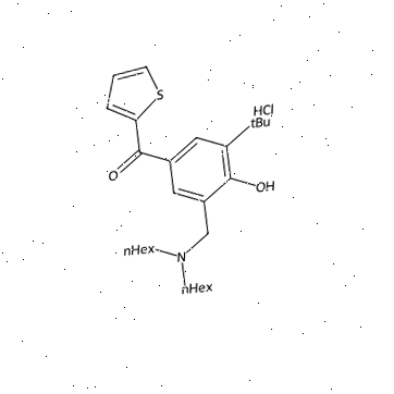 CCCCCCN(CCCCCC)Cc1cc(C(=O)c2cccs2)cc(C(C)(C)C)c1O.Cl